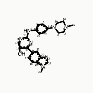 CN1CCN(c2ccc(Nc3ncc(O)c(-c4ccc5c(c4)ncn5C)n3)cc2)CC1